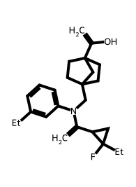 C=C(C1CC1(F)CC)N(CC12CCC(C(=C)O)(CC1)C2)c1cccc(CC)c1